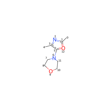 Cc1nc(C)c(N2CCOCC2)o1